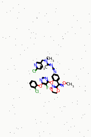 C/C(=N\C#N)N(C)Cc1ccc(Cl)nc1.CO/N=C(/C1=NOCCO1)c1ccccc1Oc1ncnc(Oc2ccccc2Cl)c1F